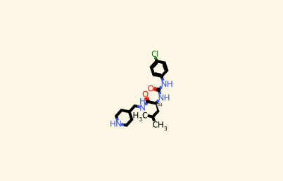 CC(C)C[C@H](NC(=O)Nc1ccc(Cl)cc1)C(=O)NCC1CCNCC1